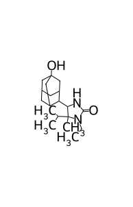 CCN1C(=O)NC(C2C3CC4CC2CC(O)(C4)C3)C1(C)C(C)C